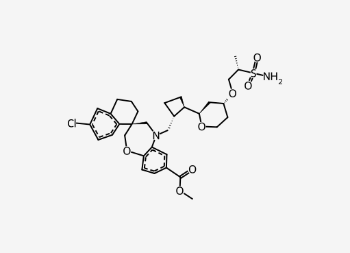 COC(=O)c1ccc2c(c1)N(C[C@@H]1CC[C@H]1[C@H]1C[C@H](OC[C@H](C)S(N)(=O)=O)CCO1)C[C@@]1(CCCc3cc(Cl)ccc31)CO2